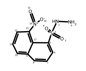 NNS(=O)(=O)c1cccc2cccc([N+](=O)[O-])c12